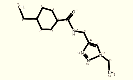 CCC1CCC(C(=O)NCc2cn(CC)nn2)CC1